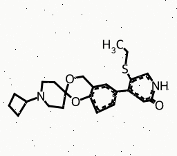 CCSc1c[nH]c(=O)cc1-c1ccc2c(c1)COC1(CCN(C3CCC3)CC1)O2